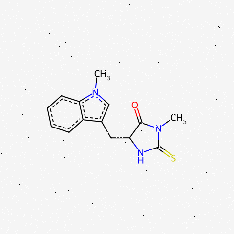 CN1C(=O)C(Cc2cn(C)c3ccccc23)NC1=S